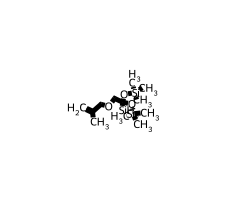 C=C(C)COCC([SiH3])(O[Si](C)(C)C)O[Si](C)(C)C